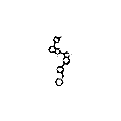 Fc1ccc(-c2cccc3[nH]c(-c4n[nH]c5ccc(-c6cncc(CN7CCCCC7)c6)nc45)nc23)s1